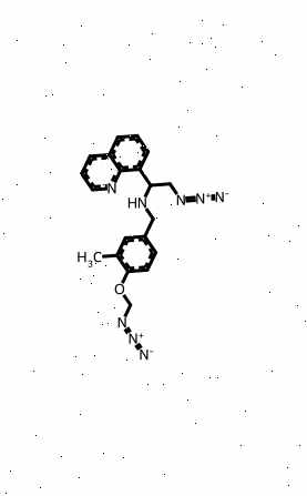 Cc1cc(CNC(CN=[N+]=[N-])c2cccc3cccnc23)ccc1OCN=[N+]=[N-]